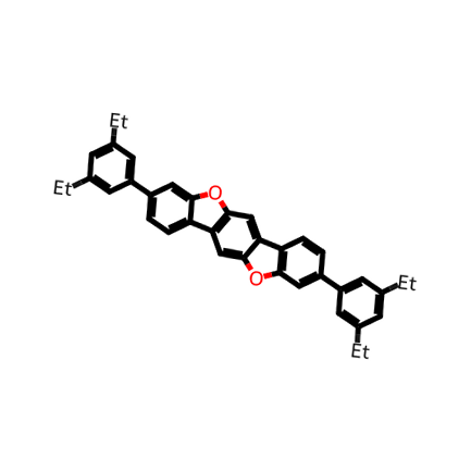 CCc1cc(CC)cc(-c2ccc3c(c2)oc2cc4c(cc23)oc2cc(-c3cc(CC)cc(CC)c3)ccc24)c1